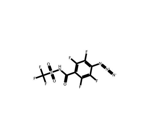 [N-]=[N+]=Nc1c(F)c(F)c(C(=O)NS(=O)(=O)C(F)(F)F)c(F)c1F